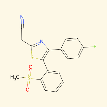 CS(=O)(=O)c1ccccc1-c1sc(CC#N)nc1-c1ccc(F)cc1